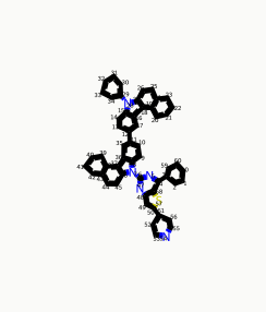 c1ccc(-c2nc(-n3c4ccc(-c5ccc6c(c5)c5c7ccccc7ccc5n6-c5ccccc5)cc4c4c5ccccc5ccc43)nc3cc(-c4ccncc4)sc23)cc1